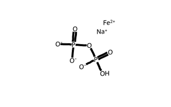 O=P([O-])([O-])OP(=O)([O-])O.[Fe+2].[Na+]